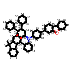 CC1(C)c2ccccc2-c2c(-c3ccccc3N(c3ccc(-c4ccc5c(c4)oc4ccccc45)cc3)c3ccc(-c4ccccc4)c(-c4ccccc4)c3)cccc21